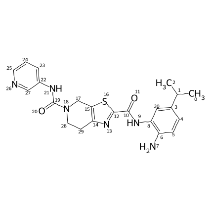 CC(C)c1ccc(N)c(NC(=O)c2nc3c(s2)CN(C(=O)Nc2cccnc2)CC3)c1